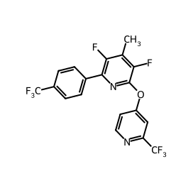 Cc1c(F)c(Oc2ccnc(C(F)(F)F)c2)nc(-c2ccc(C(F)(F)F)cc2)c1F